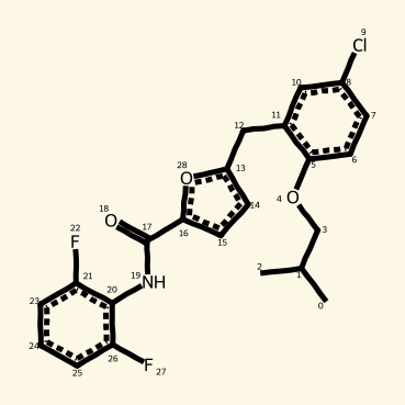 CC(C)COc1ccc(Cl)cc1Cc1ccc(C(=O)Nc2c(F)cccc2F)o1